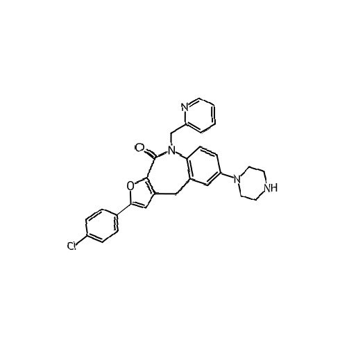 O=C1c2oc(-c3ccc(Cl)cc3)cc2Cc2cc(N3CCNCC3)ccc2N1Cc1ccccn1